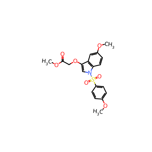 COC(=O)COc1cn(S(=O)(=O)c2ccc(OC)cc2)c2ccc(OC)cc12